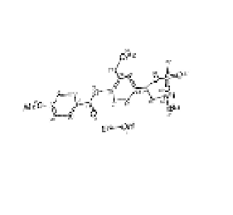 CCO.COc1ccc(C(=O)Oc2ccc(C(CNC(C)(C)C)OS(C)(=O)=O)cc2COC(C)=O)cc1